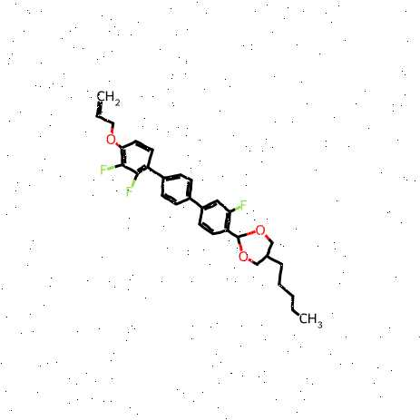 C=CCOc1ccc(-c2ccc(-c3ccc(C4OCC(CCCCC)CO4)c(F)c3)cc2)c(F)c1F